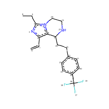 C=Cc1nc(CC)n2c1C(CCc1ccc(C(F)(F)F)cc1)NCC2